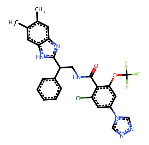 Cc1cc2nc(C(CNC(=O)c3c(Cl)cc(-n4cnnc4)cc3OC(F)(F)F)c3ccccc3)[nH]c2cc1C